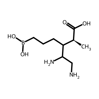 C[C@H](C(=O)O)C(CCCB(O)O)C(N)CN